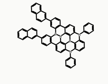 c1ccc(N2c3cccc4c3B3c5c2ccc2c5N5B(c6cc(-c7ccc8ccccc8c7)ccc6-2)c2cc(-c6ccc7ccccc7c6)ccc2-c2ccc(c3c25)N4c2ccccc2)cc1